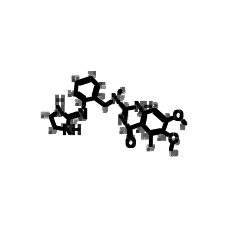 COc1cc2[nH]c(N(C)Cc3ccccc3N=C3NCCN3)nc(=O)c2c(C)c1OC